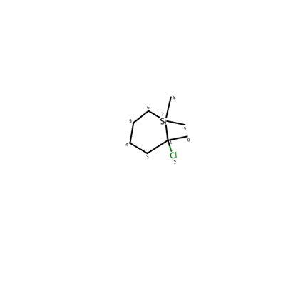 CC1(Cl)CCCC[Si]1(C)C